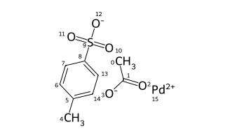 CC(=O)[O-].Cc1ccc(S(=O)(=O)[O-])cc1.[Pd+2]